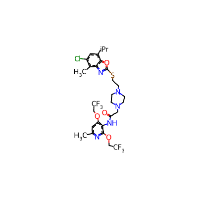 Cc1cc(OCC(F)(F)F)c(NC(=O)CN2CCN(CCSc3nc4c(C)c(Cl)cc(C(C)C)c4o3)CC2)c(OCC(F)(F)F)n1